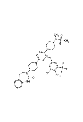 CN(C1CCN(C(=O)[C@H](CC(=O)N2CCC(N3CCc4ccccc4NC3=O)CC2)Cc2cc(Cl)c(N)c(C(F)(F)F)c2)CC1)S(C)(=O)=O